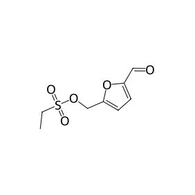 CCS(=O)(=O)OCc1ccc(C=O)o1